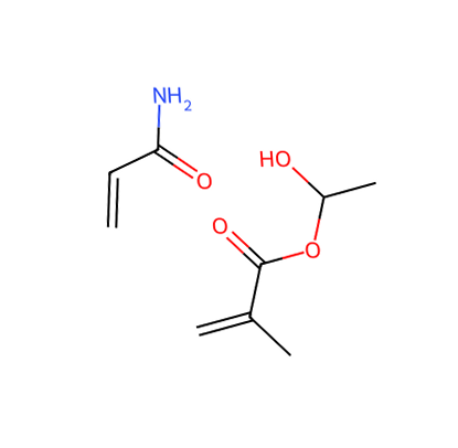 C=C(C)C(=O)OC(C)O.C=CC(N)=O